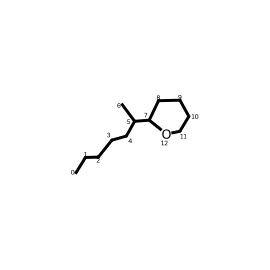 CCCCCC(C)C1CCCCO1